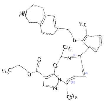 CCOC(=O)c1cnn2c1OC(C)/N=C(c1cccc(C)c1OCc1ccc3c(c1)CCNC3)/C=C\C=C\2C